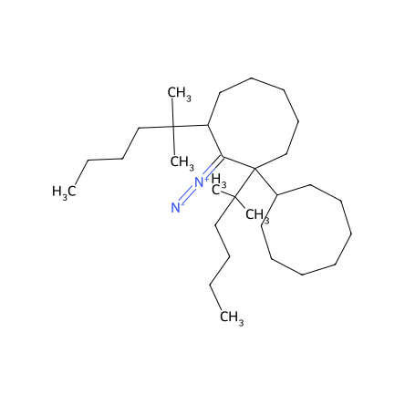 CCCCC(C)(C)C1CCCCCC(C2CCCCCCC2)(C(C)(C)CCCC)C1=[N+]=[N-]